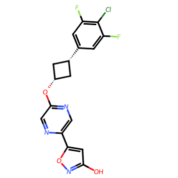 Oc1cc(-c2cnc(O[C@H]3C[C@@H](c4cc(F)c(Cl)c(F)c4)C3)cn2)on1